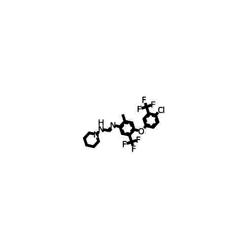 Cc1cc(Oc2ccc(Cl)c(C(F)(F)F)c2)c(C(F)(F)F)cc1/N=C/NN1CCCCC1